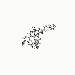 C[C@@H](Cn1cnnn1)Oc1cc(-c2cnc(Nc3cn([C@H]4CC[C@H](N5CCOCC5)CC4)nc3OCn3cccn3)nc2)ccc1C#N